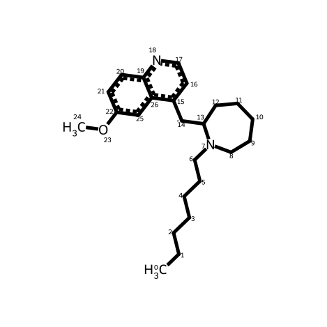 CCCCCCCN1CCCCCC1[CH]c1ccnc2ccc(OC)cc12